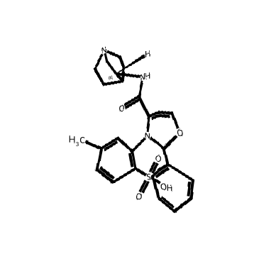 Cc1ccc(S(=O)(=O)O)c(N2C(C(=O)N[C@H]3CN4CCC3CC4)=COC2c2ccccc2)c1